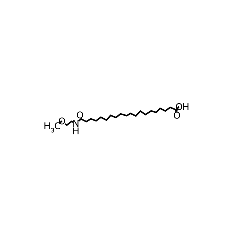 COCCNC(=O)CCCCCCCCCCCCCCCCCCC(=O)O